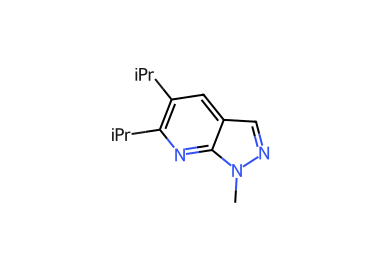 CC(C)c1cc2cnn(C)c2nc1C(C)C